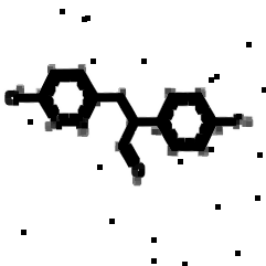 O=CC(Cc1ccc(Cl)nn1)c1ccc(F)cc1